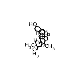 CCC(=CC[C@@H](C)[C@H]1CC[C@H]2[C@@H]3CC=C4CC(O)CC[C@]4(C)[C@H]3CC[C@]12C)C(C)C